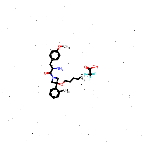 CCCCCOC1(c2ccccc2C)CN(C(=O)[C@H](N)Cc2ccc(OC)cc2)C1.O=C(O)C(F)(F)F